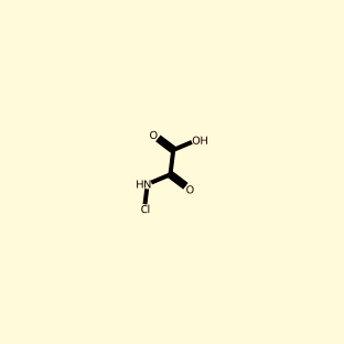 O=C(O)C(=O)NCl